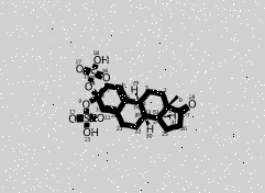 C[C@]12CC[C@@H]3C4=CCC(OS(=O)(=O)O)(OS(=O)(=O)O)C=C4CC[C@H]3[C@@H]1CCC2=O